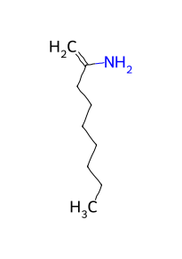 C=C(N)CCCCCCC